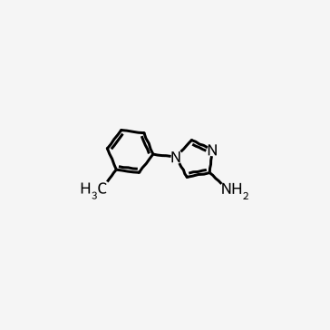 Cc1cccc(-n2cnc(N)c2)c1